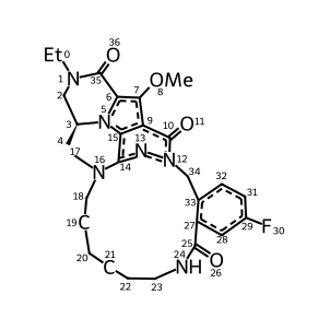 CCN1C[C@H](C)n2c(c(OC)c3c(=O)n4nc(c32)N(C)CCCCCCNC(=O)c2cc(F)ccc2C4)C1=O